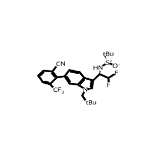 CC(C)(C)Cn1cc([C@H](N[S@@+]([O-])C(C)(C)C)C(F)F)c2ccc(-c3c(C#N)cccc3C(F)(F)F)cc21